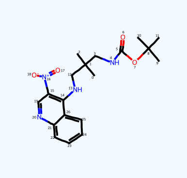 CC(C)(CNC(=O)OC(C)(C)C)CNc1c([N+](=O)[O-])cnc2ccccc12